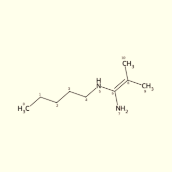 CCCCCNC(N)=C(C)C